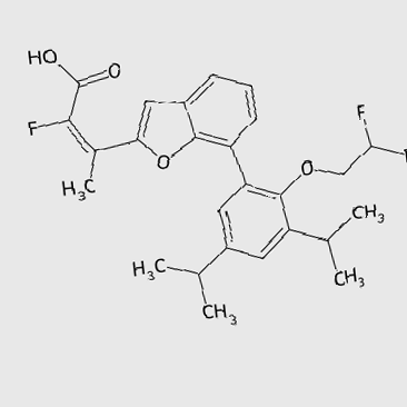 C/C(=C(\F)C(=O)O)c1cc2cccc(-c3cc(C(C)C)cc(C(C)C)c3OCC(F)F)c2o1